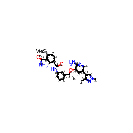 CSc1ccc(C(=O)Nc2cccc([C@@H](C)Oc3cc(-c4cn(C)nc4C)cnc3N)c2)cc1C(N)=O